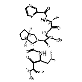 CC[C@H](C)NC(=O)C(=O)C(CC(F)F)NC(=O)[C@@H]1[C@H]2CCC[C@H]2CN1C(=O)[C@@H](NC(=O)[C@@H](NC(=O)c1cnccn1)C(C)C)C(C)(C)C